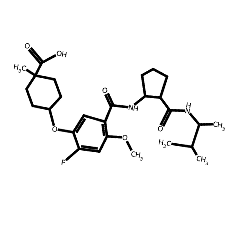 COc1cc(F)c(OC2CCC(C)(C(=O)O)CC2)cc1C(=O)NC1CCCC1C(=O)NC(C)C(C)C